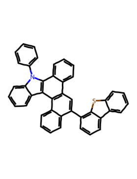 c1ccc(-n2c3ccccc3c3c4c5ccccc5c(-c5cccc6c5sc5ccccc56)cc4c4ccccc4c32)cc1